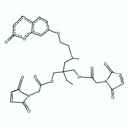 CCC(COC(=O)CN1C(=O)C=CC1=O)(COC(=O)CN1C(=O)C=CC1=O)CC(C)CCOc1ccc2ccc(=O)oc2c1